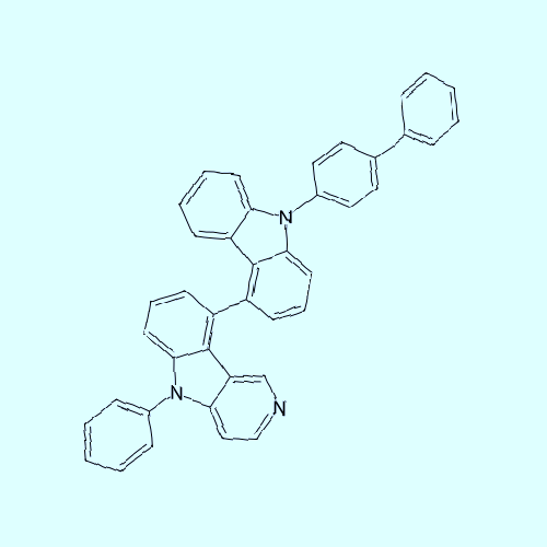 c1ccc(-c2ccc(-n3c4ccccc4c4c(-c5cccc6c5c5cnccc5n6-c5ccccc5)cccc43)cc2)cc1